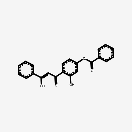 O=C(Oc1ccc(C(=O)C=C(O)c2ccccc2)c(O)c1)c1ccccc1